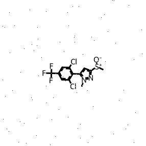 Cn1nc([S+](C)[O-])cc1-c1c(Cl)cc(C(F)(F)F)cc1Cl